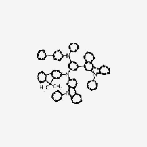 CC1(C)c2ccccc2-c2ccc(N(c3cc(-c4cc5c(c6ccccc46)c4ccccc4n5-c4ccccc4)cc(N(c4ccccc4)c4ccc(-c5ccccc5)cc4)c3)c3ccc4c5ccccc5n(-c5ccccc5)c4c3)cc21